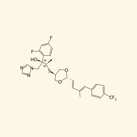 CC(C=C[C@H]1OC[C@H](S[C@H](C)[C@](O)(Cn2cncn2)c2ccc(F)cc2F)CO1)=Cc1ccc(C(F)(F)F)cc1